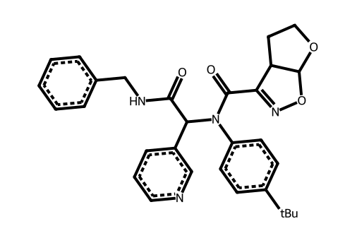 CC(C)(C)c1ccc(N(C(=O)C2=NOC3OCCC23)C(C(=O)NCc2ccccc2)c2cccnc2)cc1